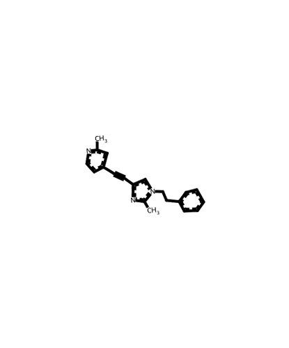 Cc1cc(C#Cc2cn(CCc3ccccc3)c(C)n2)ccn1